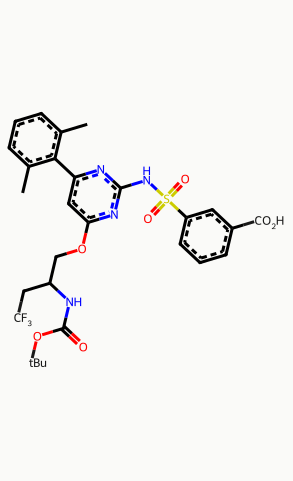 Cc1cccc(C)c1-c1cc(OCC(CC(F)(F)F)NC(=O)OC(C)(C)C)nc(NS(=O)(=O)c2cccc(C(=O)O)c2)n1